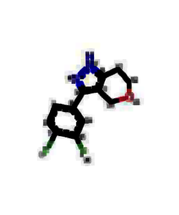 Fc1ccc(-c2n[nH]c3c2COCC3)cc1F